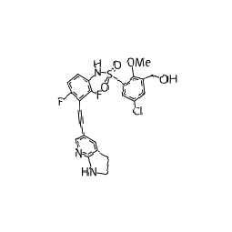 COc1c(CO)cc(Cl)cc1S(=O)(=O)Nc1ccc(F)c(C#Cc2cnc3c(c2)CCN3)c1F